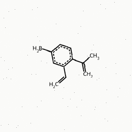 Bc1ccc(C(=C)C)c(C=C)c1